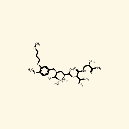 COCCCOc1cc(C[C@@H](C[C@H](N)[C@@H](O)C[C@H](C(=O)NC[C@@H](C)C(N)=O)C(C)C)C(C)C)ccc1OC.Cl